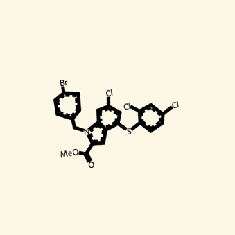 COC(=O)c1cc2c(Sc3ccc(Cl)cc3Cl)cc(Cl)cc2n1Cc1ccc(Br)cc1